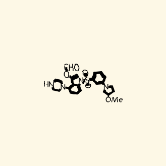 CO[C@@H]1CCN(c2cccc(S(=O)(=O)n3cc(OC=O)c4c(N5CCNCC5)cccc43)c2)C1